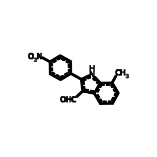 Cc1cccc2c(C=O)c(-c3ccc([N+](=O)[O-])cc3)[nH]c12